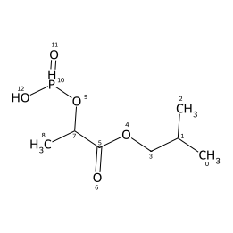 CC(C)COC(=O)C(C)O[PH](=O)O